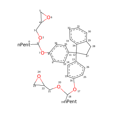 CCCCCC(OCC1CO1)Oc1ccc(C2(c3ccc(OC(CCCCC)OCC4CO4)cc3)CCc3ccccc32)cc1